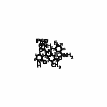 Cc1cc2c(-c3ccc[nH]c3=O)c(C(=O)NS(=O)(=O)C(C)C)n(Cc3cc(C(N)=O)ccc3F)c2cc1F